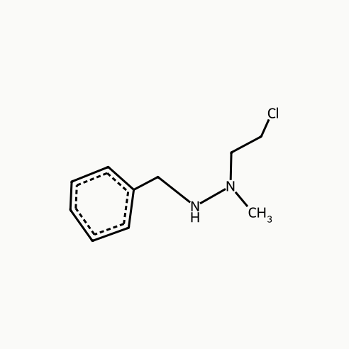 CN(CCCl)NCc1ccccc1